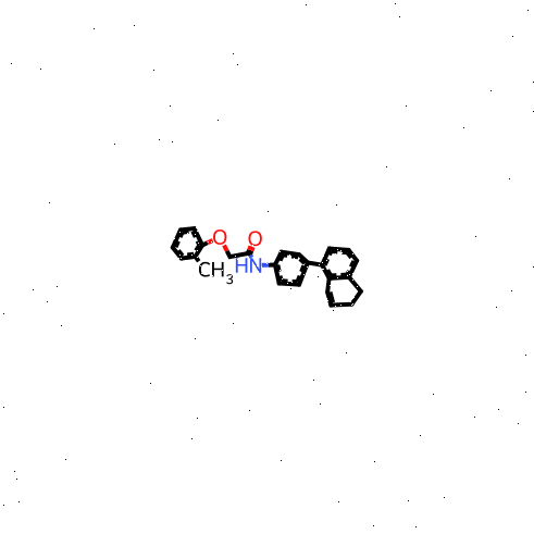 Cc1ccccc1OCC(=O)Nc1ccc(-c2cccc3c2C=CCC3)cc1